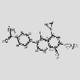 CCOC(=O)c1cc(C2CC2)c2c(C)c(-c3ccc(C(N)=O)cc3)ccn2c1=O